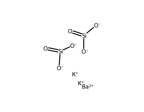 O=[Si]([O-])[O-].O=[Si]([O-])[O-].[Ba+2].[K+].[K+]